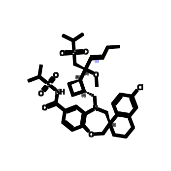 CC/C=C/[C@](CS(=O)(=O)C(C)C)(OC)[C@@H]1CC[C@H]1CN1C[C@@]2(CCCc3cc(Cl)ccc32)COc2ccc(C(=O)NS(=O)(=O)C(C)C)cc21